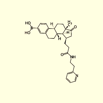 C[C@]12CC[C@@H]3c4ccc(B(O)O)cc4CC[C@H]3[C@@H]1[C@H](CCC(=O)NCCc1ccccn1)CC2=O